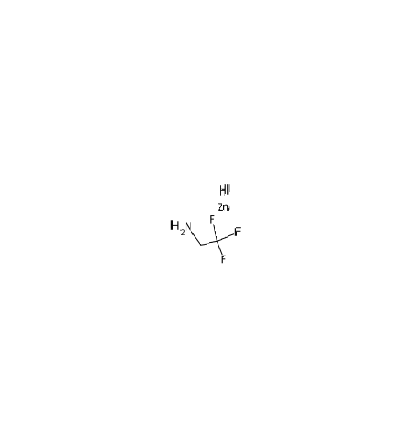 I.NCC(F)(F)F.[Zn]